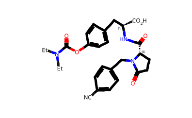 CCN(CC)C(=O)Oc1ccc(C[C@H](NC(=O)[C@@H]2CCC(=O)N2Cc2ccc(C#N)cc2)C(=O)O)cc1